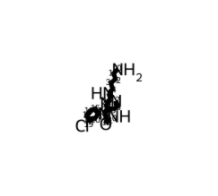 NCCCCNc1ncc2[nH]c(=O)n(-c3cccc(Cl)c3)c2n1